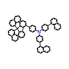 c1ccc2c(c1)-c1c(-c3ccc(N(c4ccc(-c5cccc6ccccc56)cc4)c4ccc(-c5cccc6ccccc56)cc4)cc3)cccc1C2(c1cccc2ccccc12)c1cccc2ccccc12